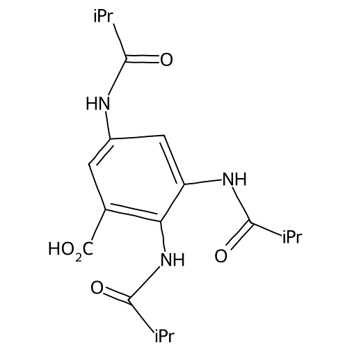 CC(C)C(=O)Nc1cc(NC(=O)C(C)C)c(NC(=O)C(C)C)c(C(=O)O)c1